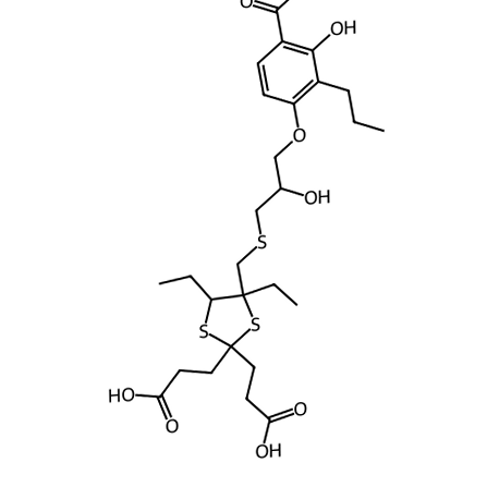 CCCc1c(OCC(O)CSCC2(CC)SC(CCC(=O)O)(CCC(=O)O)SC2CC)ccc(C(C)=O)c1O